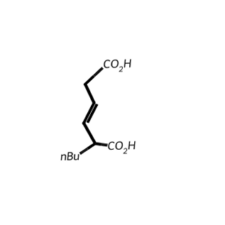 CCCCC(/C=C/CC(=O)O)C(=O)O